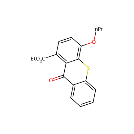 CCCOc1ccc(C(=O)OCC)c2c(=O)c3ccccc3sc12